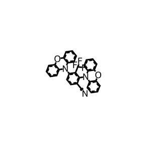 N#Cc1ccc(N2c3ccccc3Oc3ccccc32)c(C(F)(F)F)c1N1c2ccccc2Oc2ccccc21